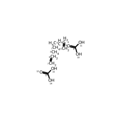 C.C.C.C.C=C.C=C.O=C(O)O.O=C(O)O